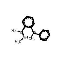 CN[C@@H](C)c1ccccc1[C@H](C)c1ccccc1